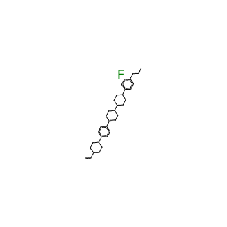 C=CC1CCC(c2ccc(C3=CCC(C4CCC(c5ccc(CCC)c(F)c5)CC4)CC3)cc2)CC1